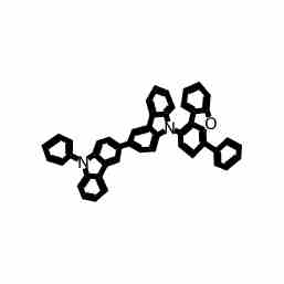 c1ccc(-c2ccc(-n3c4ccccc4c4cc(-c5ccc6c(c5)c5ccccc5n6-c5ccccc5)ccc43)c3c2oc2ccccc23)cc1